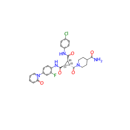 NC(=O)C1CCN(C(=O)[C@H]2[C@H](C(=O)Nc3ccc(Cl)cc3)[C@@H]2C(=O)Nc2ccc(-n3ccccc3=O)cc2F)CC1